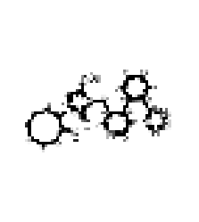 CCCCc1cn(C2CCCCCCC2O)c(=O)n1Cc1cnccc1-c1ccccc1-c1nnn[nH]1